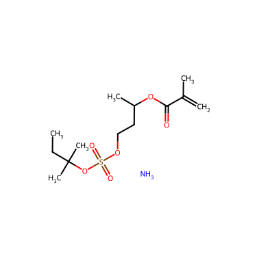 C=C(C)C(=O)OC(C)CCOS(=O)(=O)OC(C)(C)CC.N